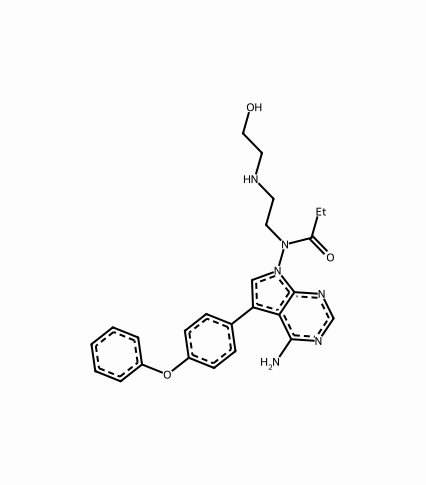 CCC(=O)N(CCNCCO)n1cc(-c2ccc(Oc3ccccc3)cc2)c2c(N)ncnc21